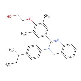 CCC(C)c1ccc(N2Cc3ccccc3N=C2c2cc(C)c(OCCO)c(C)c2)cc1